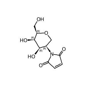 O=C1C=CC(=O)N1[C@@H]1CO[C@H](CO)[C@H](O)[C@@H]1O